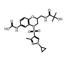 Cc1nn(C2CC2)cc1S(=O)(=O)N1CC(CNC(=O)C(C)(C)O)Oc2ccc(NC(=O)O)cc21